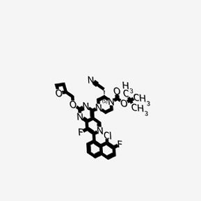 CC(C)(C)OC(=O)N1CCN(c2nc(OCC3CCO3)nc3c(F)c(-c4cccc5ccc(F)c(Cl)c45)ncc23)C[C@@H]1CC#N